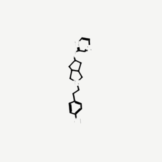 Oc1ccc(CCN2CC3CC(Oc4cnccn4)CC3C2)cc1